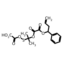 C=CCC(OC(=O)C(=O)OC(C)(C)SOC(=O)C(=O)O)c1ccccc1